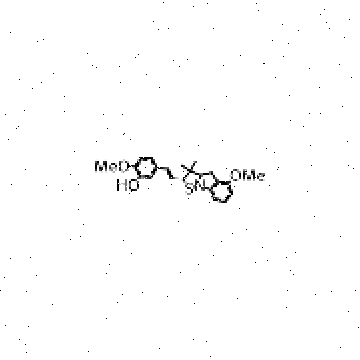 COc1ccc(C=CC2SN3c4cccc(OC)c4CC3C2(C)C)cc1O